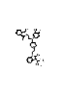 C=C(C)n1c(=O)n(CCN2CCC(N(C(=O)CN3C(=O)c4ccccc4C3=O)c3ccc(Cl)c(Cl)c3)CC2)c2ccccc21